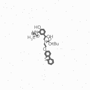 CC(C)(C)OC(=O)N(CCOc1ccc2c(c1)sc1ccccc12)CC(O)c1ccc(O)c(NS(C)(=O)=O)c1